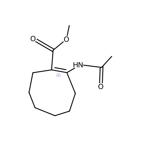 COC(=O)/C1=C(\NC(C)=O)CCCCCC1